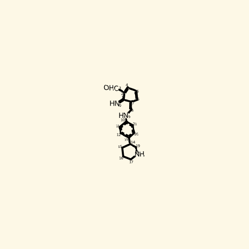 N=C1C(C=O)=CC=C/C1=C/Nc1ccc(C2CCCNC2)cc1